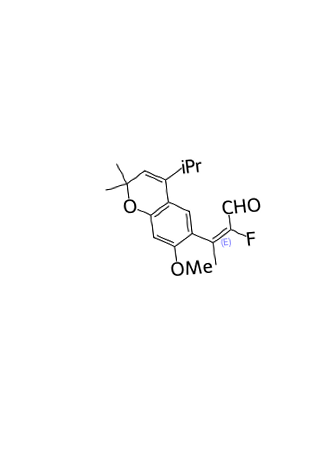 COc1cc2c(cc1/C(C)=C(/F)C=O)C(C(C)C)=CC(C)(C)O2